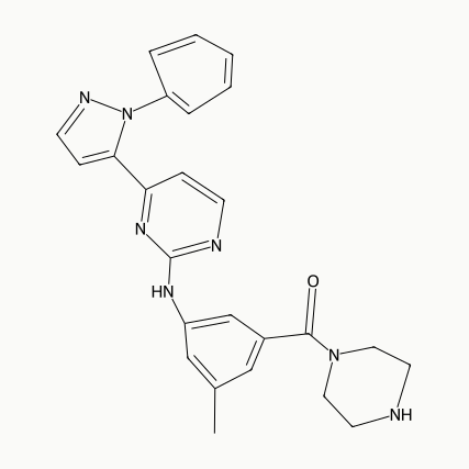 Cc1cc(Nc2nccc(-c3ccnn3-c3ccccc3)n2)cc(C(=O)N2CCNCC2)c1